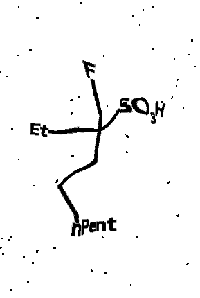 CCCCCCCC(F)(CC)S(=O)(=O)O